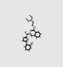 CCN(CC)CCOC(=O)c1ccccc1/C=N/N(C)c1nc(-c2ccccc2Cl)cs1